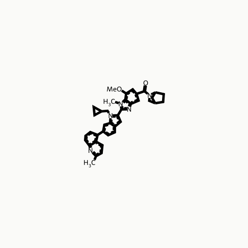 COc1cc(C(=O)N2CC3CCC2C3)cc2nc(-c3cc4ccc(-c5cccc6nc(C)ccc56)cc4n3CC3CC3)n(C)c12